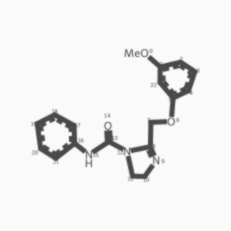 COc1cccc(OCC2=NCCN2C(=O)Nc2ccccc2)c1